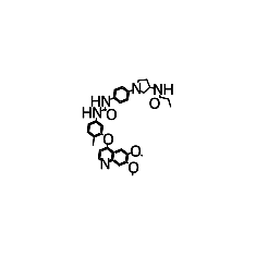 CCC(=O)NC1CCN(c2ccc(NC(=O)Nc3ccc(C)c(Oc4ccnc5cc(OC)c(OC)cc45)c3)cc2)C1